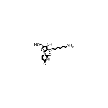 NCCCCCCO[C@@H]1[C@H](O)[C@@H](CO)O[C@H]1n1ccc(=O)[nH]c1=O